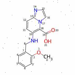 COc1ccccc1CNc1ccc2nccn2c1C(=O)O